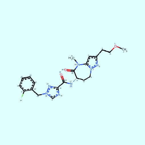 COCCc1cc2n(n1)CC[C@H](NC(=O)c1ncn(Cc3ccccc3F)n1)C(=O)N2C